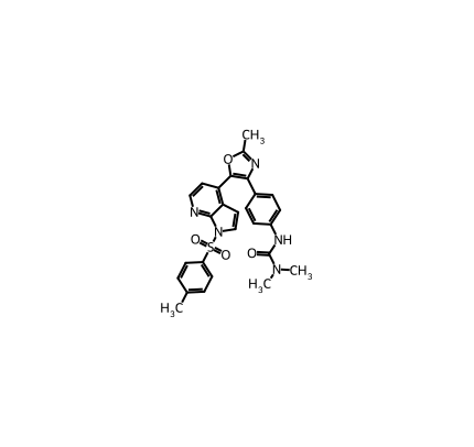 Cc1ccc(S(=O)(=O)n2ccc3c(-c4oc(C)nc4-c4ccc(NC(=O)N(C)C)cc4)ccnc32)cc1